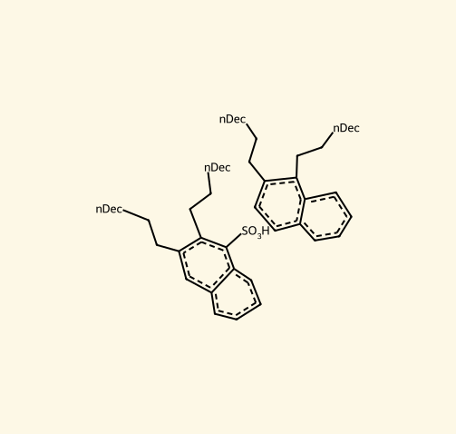 CCCCCCCCCCCCc1cc2ccccc2c(S(=O)(=O)O)c1CCCCCCCCCCCC.CCCCCCCCCCCCc1ccc2ccccc2c1CCCCCCCCCCCC